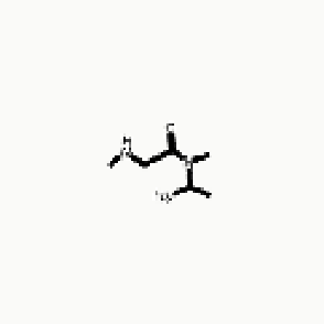 CNCC(=O)N(C)C(C)S